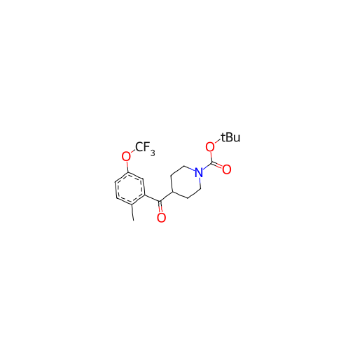 Cc1ccc(OC(F)(F)F)cc1C(=O)C1CCN(C(=O)OC(C)(C)C)CC1